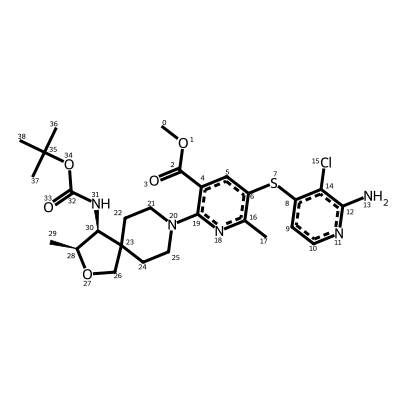 COC(=O)c1cc(Sc2ccnc(N)c2Cl)c(C)nc1N1CCC2(CC1)CO[C@@H](C)[C@H]2NC(=O)OC(C)(C)C